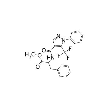 COC(=O)C(Cc1ccccc1)NC(=O)c1cnn(-c2ccccc2)c1C(F)(F)F